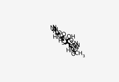 CS(=O)(=O)NCCC(Sc1nnn[nH]1)C1=C(C(=O)O)N2C(=O)[C@@H](NC(=O)Cn3cnnn3)[C@@H]2SC1